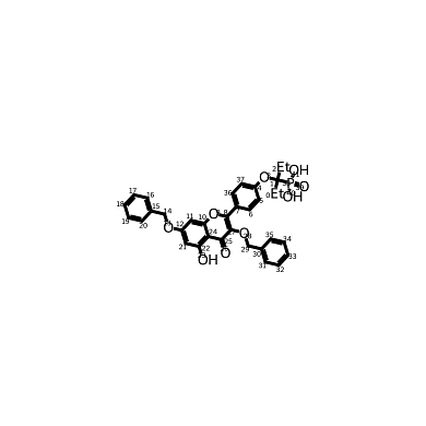 CCC(CC)(Oc1ccc(-c2oc3cc(OCc4ccccc4)cc(O)c3c(=O)c2OCc2ccccc2)cc1)P(=O)(O)O